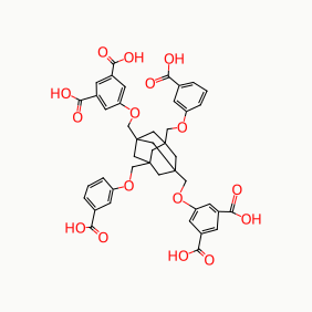 O=C(O)c1cccc(OCC23CC4(COc5cccc(C(=O)O)c5)CC(COc5cc(C(=O)O)cc(C(=O)O)c5)(C2)CC(COc2cc(C(=O)O)cc(C(=O)O)c2)(C3)C4)c1